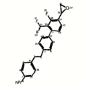 CCCc1ccc(CCc2ccc(-c3ccc(C4CO4)c(F)c3C(F)F)cc2)cc1